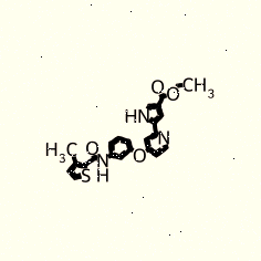 CCOC(=O)c1c[nH]c(-c2cc(Oc3cccc(NC(=O)c4sccc4C)c3)ccn2)c1